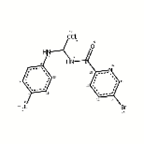 Cc1ccc(NC(NC(=O)c2ccc(Br)cn2)C(Cl)(Cl)Cl)cc1